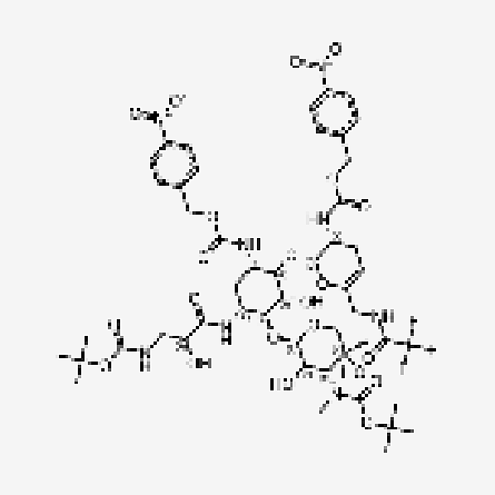 CN(C(=O)OC(C)(C)C)[C@@H]1[C@@H](O)[C@@H](O[C@@H]2[C@@H](O)[C@H](O[C@H]3OC(CNC(=O)C(F)(F)F)=CC[C@H]3NC(=O)OCc3ccc([N+](=O)[O-])cc3)[C@@H](NC(=O)OCc3ccc([N+](=O)[O-])cc3)C[C@H]2NC(=O)[C@@H](O)CNC(=O)OC(C)(C)C)OC[C@]1(C)O